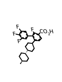 C[C@H]1CC[C@H](C2CCC(c3ccc(C(=O)O)c(F)c3-c3cc(F)c(F)c(F)c3)CC2)CC1